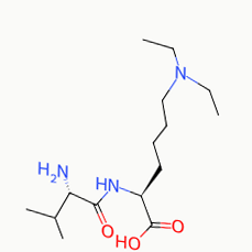 CCN(CC)CCCC[C@H](NC(=O)[C@@H](N)C(C)C)C(=O)O